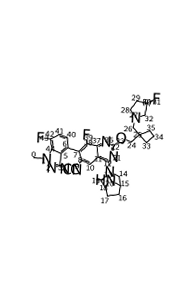 Cn1nc(C#N)c2c(-c3c(C#N)cc4c(N5CC6CCC(C5)N6)nc(OCC5(CN6CC[C@@H](F)C6)CCC5)nc4c3F)ccc(F)c21